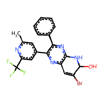 Cc1cc(-c2nc3c(nc2-c2ccccc2)NC(O)C(Br)=C3)cc(C(F)(F)F)n1